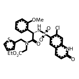 CCOC(=O)CN(Cc1cccs1)C(=O)[C@@H](NS(=O)(=O)c1cc2ccc(=O)[nH]c2cc1Cl)c1ccccc1OC